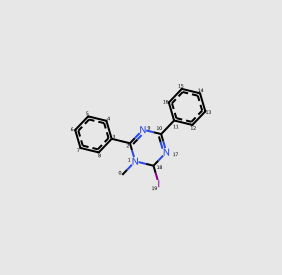 CN1C(c2ccccc2)=NC(c2ccccc2)=NC1I